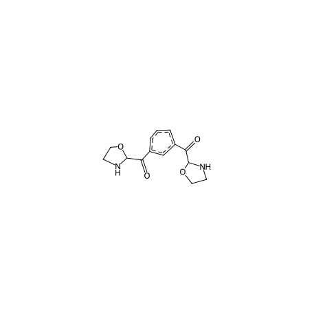 O=C(c1cccc(C(=O)C2NCCO2)c1)C1NCCO1